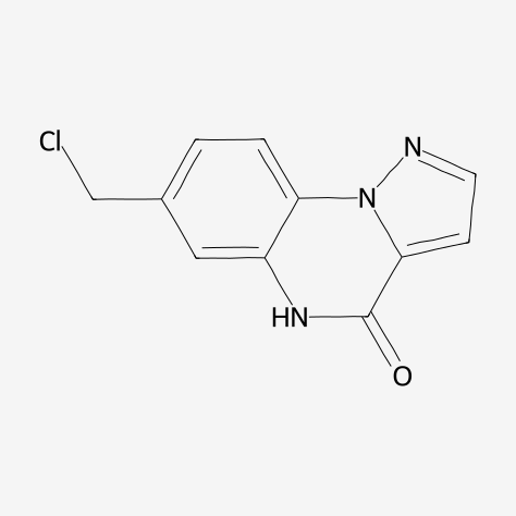 O=c1[nH]c2cc(CCl)ccc2n2nccc12